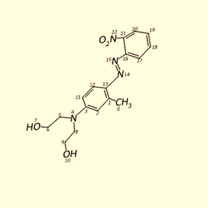 Cc1cc(N(CCO)CCO)ccc1N=Nc1ccccc1[N+](=O)[O-]